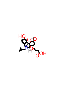 O=C(O)CCCOC12CCC(=O)[C@@H]3Oc4c(O)ccc5c4[C@@]31CCN(CC1CC1)[C@@H]2C5